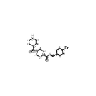 O=C(/C=C/c1ccc(Br)cc1)N1CCN(C(=O)C2CCNCC2)CC1